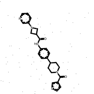 O=C(Nc1ccc(C2CCN(C(=O)c3ccsc3)CC2)cc1)C1CN(c2cccnc2)C1